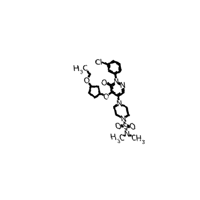 CCOC1CCC(Oc2c(N3CCN(S(=O)(=O)N(C)C)CC3)cnn(-c3cccc(Cl)c3)c2=O)C1